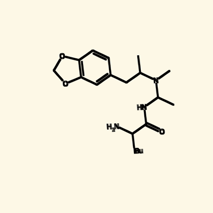 CCC(C)C(N)C(=O)NC(C)N(C)C(C)Cc1ccc2c(c1)OCO2